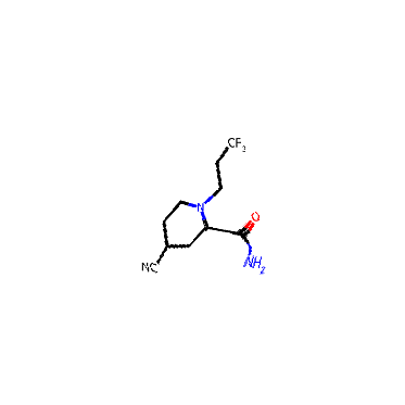 N#C[C]1CCN(CCC(F)(F)F)C(C(N)=O)C1